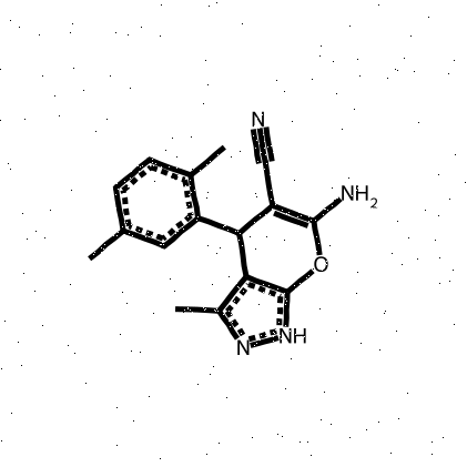 Cc1ccc(C)c(C2C(C#N)=C(N)Oc3[nH]nc(C)c32)c1